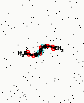 C=CC(=O)OCCCOc1ccc(C(F)(F)Oc2ccc(OC(F)(F)c3ccc(OCCCOC(=O)C=C)cc3)c(F)c2)cc1